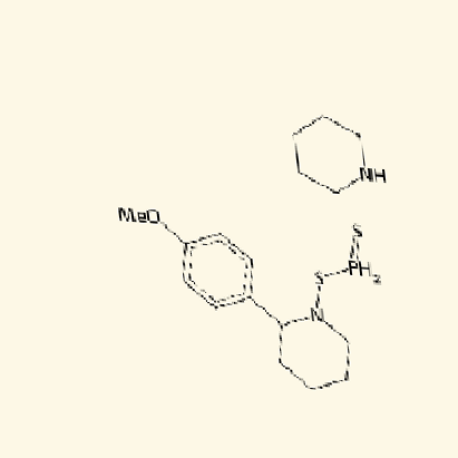 C1CCNCC1.COc1ccc(C2CCCCN2S[PH2]=S)cc1